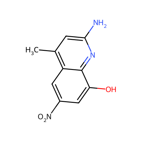 Cc1cc(N)nc2c(O)cc([N+](=O)[O-])cc12